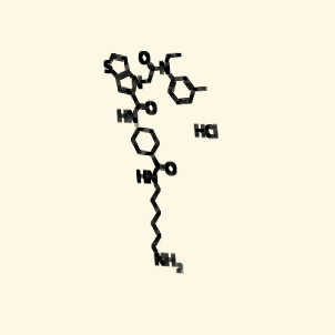 CCN(C(=O)Cn1c(C(=O)N[C@H]2CC[C@H](C(=O)NCCCCCCN)CC2)cc2sccc21)c1cccc(C)c1.Cl